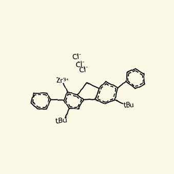 CC(C)(C)c1cc2c(cc1-c1ccccc1)Cc1c-2cc(C(C)(C)C)c(-c2ccccc2)[c]1[Zr+3].[Cl-].[Cl-].[Cl-]